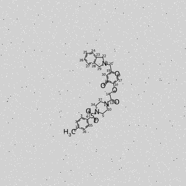 Cc1ccc(S(=O)(=O)N2CCN(C(=O)COc3coc(CN4Cc5ccccc5C4)cc3=O)CC2)cc1